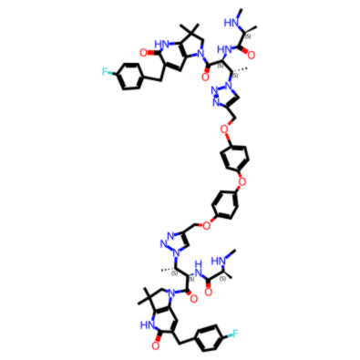 CN[C@@H](C)C(=O)N[C@H](C(=O)N1CC(C)(C)c2[nH]c(=O)c(Cc3ccc(F)cc3)cc21)[C@H](C)n1cc(COc2ccc(Oc3ccc(OCc4cn([C@@H](C)[C@H](NC(=O)[C@H](C)NC)C(=O)N5CC(C)(C)c6[nH]c(=O)c(Cc7ccc(F)cc7)cc65)nn4)cc3)cc2)nn1